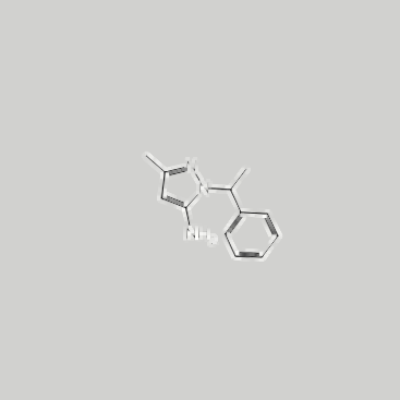 Cc1cc(N)n(C(C)c2ccccc2)n1